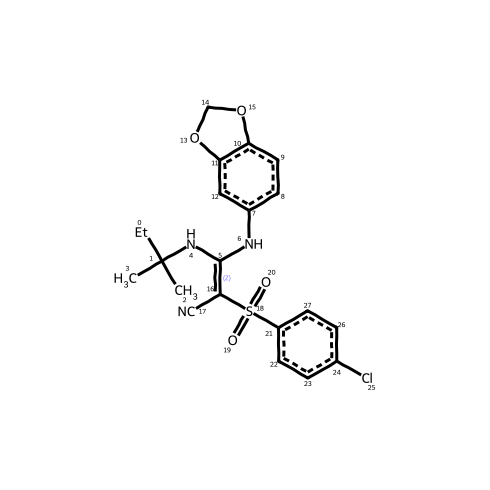 CCC(C)(C)N/C(Nc1ccc2c(c1)OCO2)=C(\C#N)S(=O)(=O)c1ccc(Cl)cc1